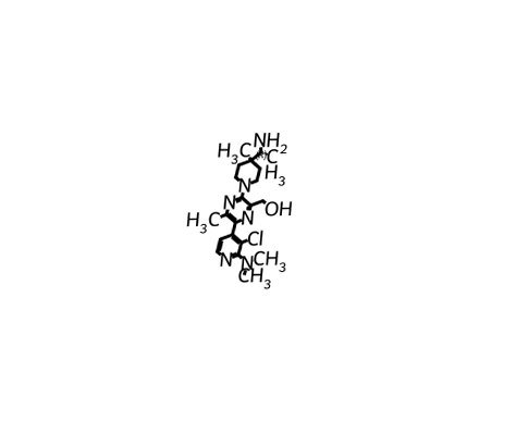 Cc1nc(N2CCC(C)([C@@H](C)N)CC2)c(CO)nc1-c1ccnc(N(C)C)c1Cl